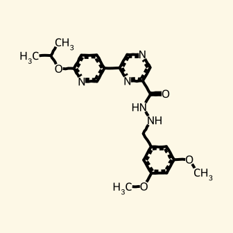 COc1cc(CNNC(=O)c2cncc(-c3ccc(OC(C)C)nc3)n2)cc(OC)c1